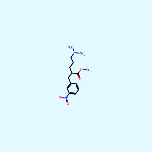 COC(=O)C(CCCN(C)C)Cc1cccc([N+](=O)[O-])c1